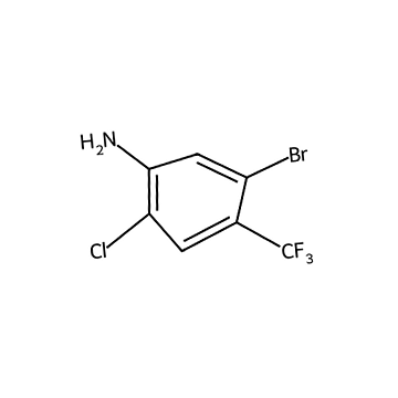 Nc1cc(Br)c(C(F)(F)F)cc1Cl